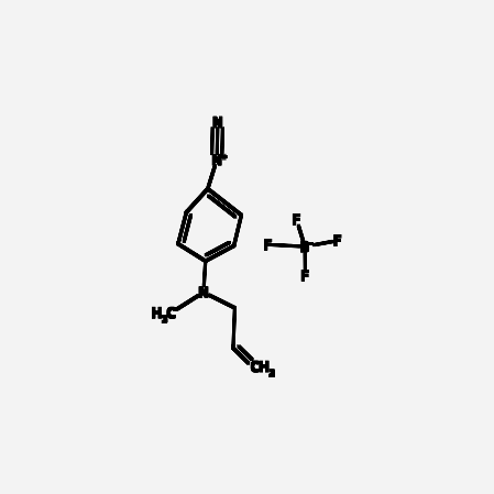 C=CCN(C)c1ccc([N+]#N)cc1.F[B-](F)(F)F